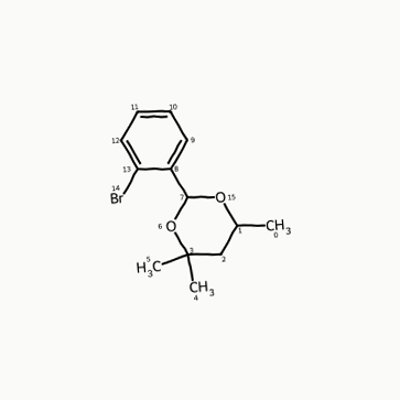 CC1CC(C)(C)OC(c2ccccc2Br)O1